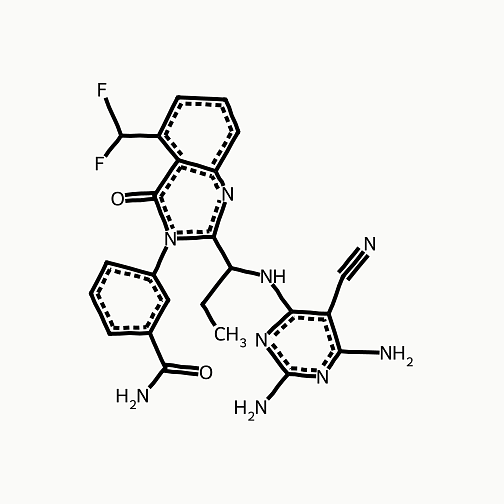 CCC(Nc1nc(N)nc(N)c1C#N)c1nc2cccc(C(F)F)c2c(=O)n1-c1cccc(C(N)=O)c1